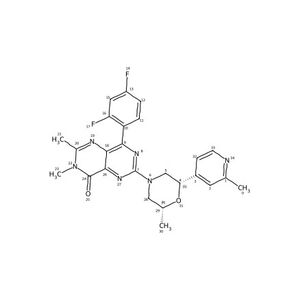 Cc1cc([C@H]2CN(c3nc(-c4ccc(F)cc4F)c4nc(C)n(C)c(=O)c4n3)C[C@@H](C)O2)ccn1